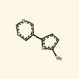 CC(C)(C)c1ccc(-c2cncnc2)s1